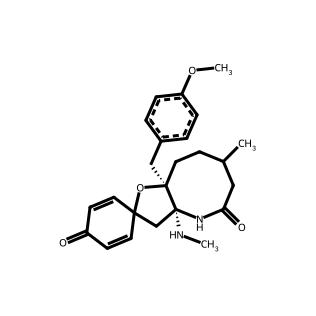 CN[C@]12CC3(C=CC(=O)C=C3)O[C@@]1(Cc1ccc(OC)cc1)CCC(C)CC(=O)N2